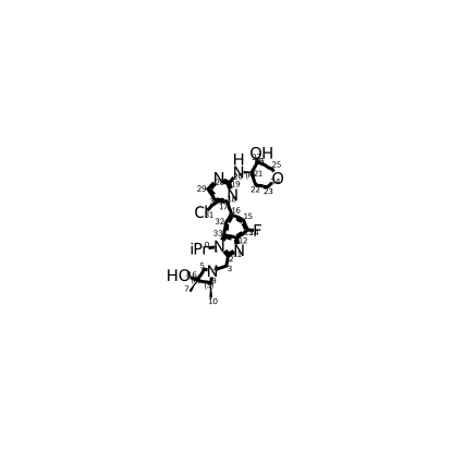 CC(C)n1c(CN2C[C@@](C)(O)[C@@H]2C)nc2c(F)cc(-c3nc(N[C@@H]4CCOC[C@H]4O)ncc3Cl)cc21